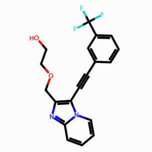 OCCOCc1nc2ccccn2c1C#Cc1cccc(C(F)(F)F)c1